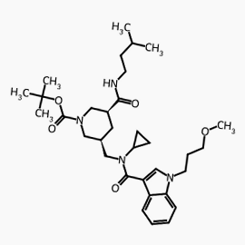 COCCCn1cc(C(=O)N(C[C@@H]2C[C@H](C(=O)NCCC(C)C)CN(C(=O)OC(C)(C)C)C2)C2CC2)c2ccccc21